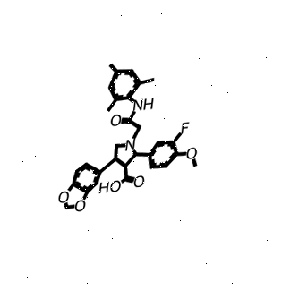 COc1ccc(C2C(C(=O)O)C(c3ccc4c(c3)OCO4)CN2CC(=O)Nc2c(C)cc(C)cc2C)cc1F